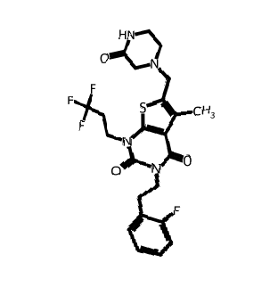 Cc1c(CN2CCNC(=O)C2)sc2c1c(=O)n(CCc1ccccc1F)c(=O)n2CCC(F)(F)F